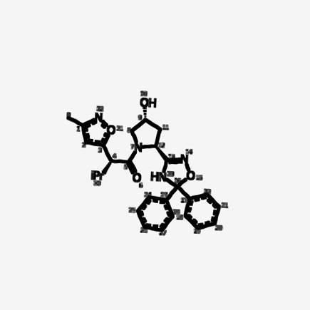 Cc1cc([C@@H](C(=O)N2C[C@H](O)C[C@H]2C2=NOC(c3ccccc3)(c3ccccc3)N2)C(C)C)on1